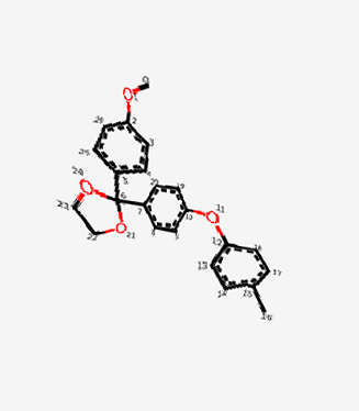 COc1ccc(C2(c3ccc(Oc4ccc(C)cc4)cc3)OCCO2)cc1